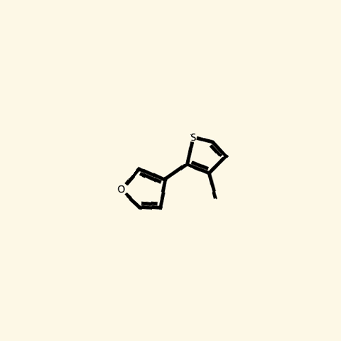 Cc1ccsc1-c1ccoc1